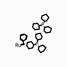 C1CCC(P(C2CCCCC2)C2CCCCC2)CC1.C1CCC(P(C2CCCCC2)C2CCCCC2)CC1.[Ru]=[CH]c1ccccc1